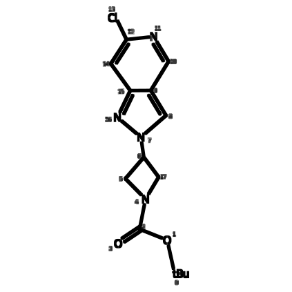 CC(C)(C)OC(=O)N1CC(n2cc3cnc(Cl)cc3n2)C1